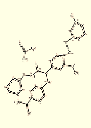 CC(=O)O.COc1cc(C(Nc2ccc(C(=N)N)cc2)C(=O)NCc2ccccc2)ccc1OCc1cccc(Br)c1